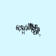 CO[C@@H]1C[C@H]1C(=O)Nc1ccc(-c2nnn(C)c2NC(=O)O[C@H](C)c2cc(F)cnc2F)cc1